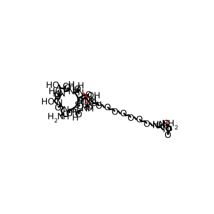 CC[C@H](C)C1NC(=O)CNC(=O)[C@@H]2Cc3c([nH]c4c(CSCCOCCOCCOCCOCCOCCOCCOCCN/C=C(/CN5C(=O)C=CC5=O)NN)c(O)ccc34)[S+]([O-])C[C@H](NC(=O)CNC1=O)C(=O)NC(CC(N)=O)C(=O)N1C[C@H](O)C[C@H]1C(=O)NC(C(C)[C@@H](O)CO)C(=O)N2